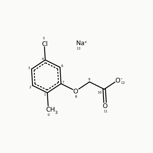 Cc1ccc(Cl)cc1OCC(=O)[O-].[Na+]